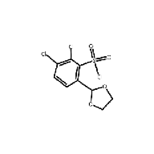 O=S(=O)(Cl)c1c(C2OCCO2)ccc(Cl)c1Cl